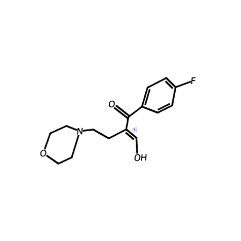 O=C(/C(=C/O)CCN1CCOCC1)c1ccc(F)cc1